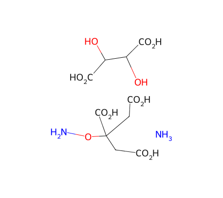 N.NOC(CC(=O)O)(CC(=O)O)C(=O)O.O=C(O)C(O)C(O)C(=O)O